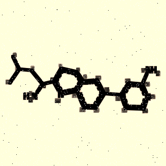 CC(C)CC(N)c1ccc2cc(-c3ccnc(N)c3)ccc2n1